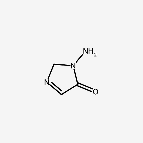 NN1CN=CC1=O